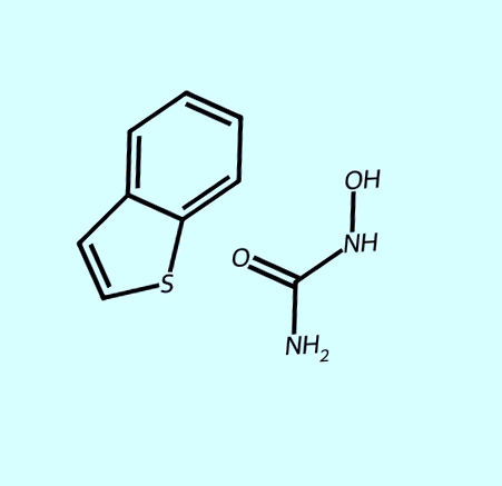 NC(=O)NO.c1ccc2sccc2c1